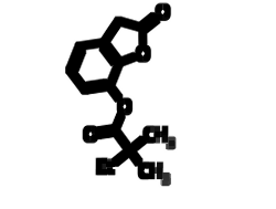 CCC(C)(C)C(=O)Oc1cccc2c1OC(=O)C2